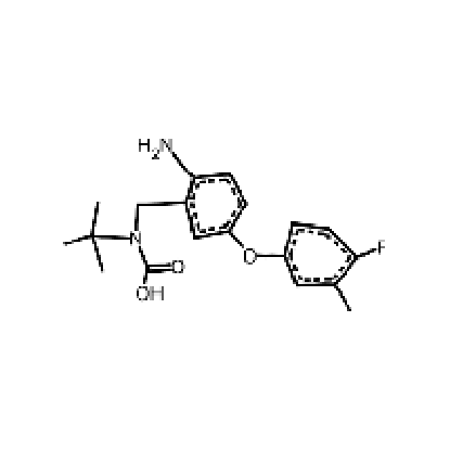 Cc1cc(Oc2ccc(N)c(CN(C(=O)O)C(C)(C)C)c2)ccc1F